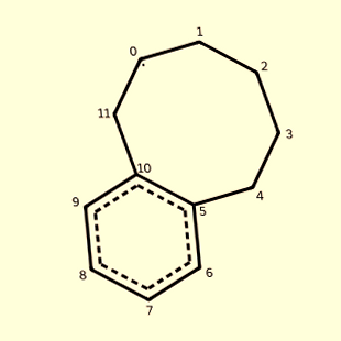 [C]1CCCCc2ccccc2C1